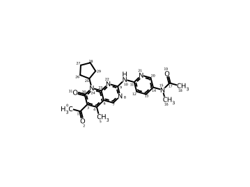 CC(=O)c1c(C)c2cnc(Nc3ccc(N(C)C(C)=O)cn3)nc2n(C2CCCC2)c1=O